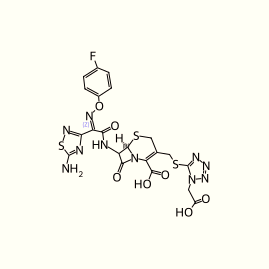 Nc1nc(/C(=N/Oc2ccc(F)cc2)C(=O)NC2C(=O)N3C(C(=O)O)=C(CSc4nnnn4CC(=O)O)CS[C@H]23)ns1